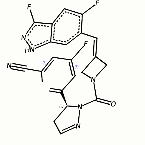 C=C(/C=C(F)\C=C(/C)C#N)[C@@H]1CC=NN1C(=O)N1CC(=Cc2cc3[nH]nc(F)c3cc2F)C1